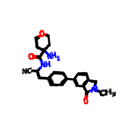 CN1Cc2ccc(-c3ccc(CC(C#N)NC(=O)C4(N)CCOCC4)cc3)cc2C1=O